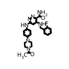 CC(=O)N1CCN(c2ccc(Nc3cc(NCc4ccccc4F)c(C(N)=O)nn3)cc2)CC1